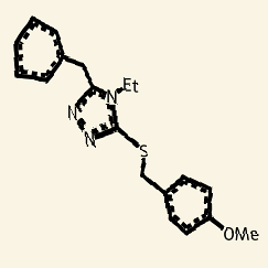 CCn1c(Cc2ccccc2)nnc1SCc1ccc(OC)cc1